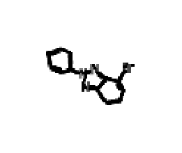 Brc1cccc2nn(-c3ccccc3)nc12